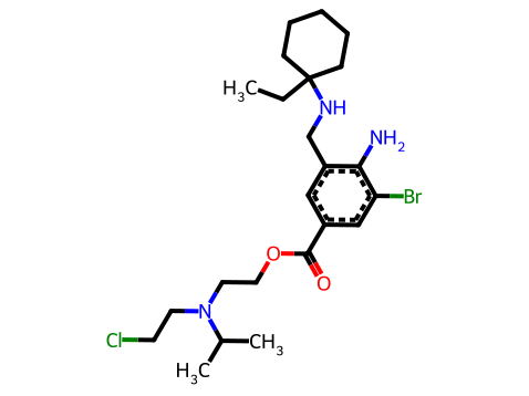 CCC1(NCc2cc(C(=O)OCCN(CCCl)C(C)C)cc(Br)c2N)CCCCC1